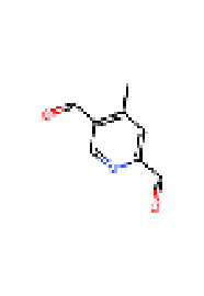 Cc1cc(C=O)ncc1C=O